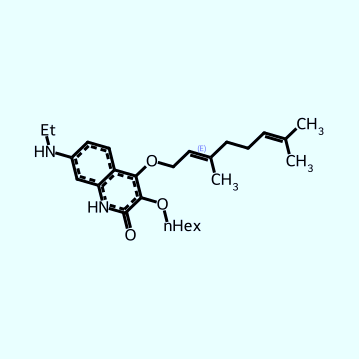 CCCCCCOc1c(OC/C=C(\C)CCC=C(C)C)c2ccc(NCC)cc2[nH]c1=O